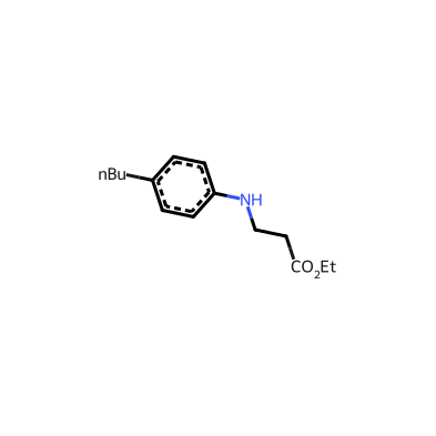 CCCCc1ccc(NCCC(=O)OCC)cc1